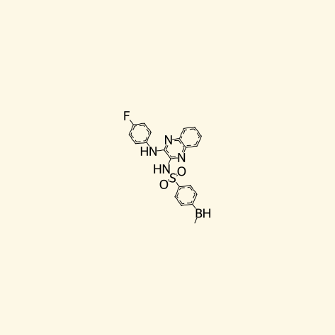 CBc1ccc(S(=O)(=O)Nc2nc3ccccc3nc2Nc2ccc(F)cc2)cc1